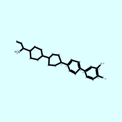 CCC(N)C1CCC(C2CCC(c3ccc(-c4ccc(F)c(F)c4)cc3)CC2)CC1